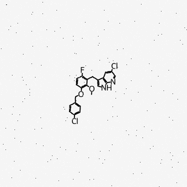 COc1c(OCc2ccc(Cl)cc2)ccc(F)c1Cc1c[nH]c2ncc(Cl)cc12